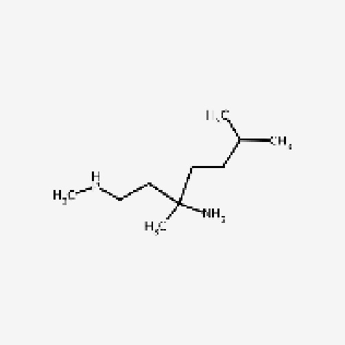 CPCCC(C)(N)CCC(C)C